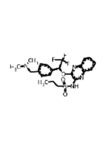 CCCS(=O)(=O)Nc1nc2ccccc2nc1OC(c1ccc(CN(C)C)cc1)C(F)(F)F